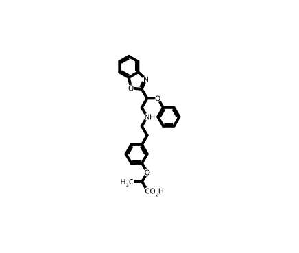 CC(Oc1cccc(CCNCC(Oc2ccccc2)c2nc3ccccc3o2)c1)C(=O)O